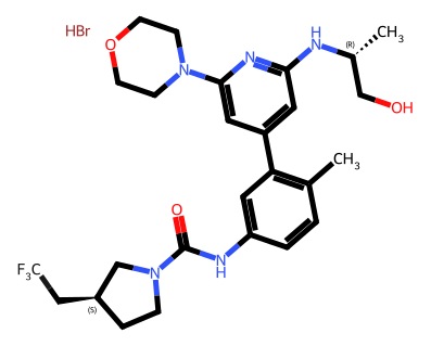 Br.Cc1ccc(NC(=O)N2CC[C@@H](CC(F)(F)F)C2)cc1-c1cc(N[C@H](C)CO)nc(N2CCOCC2)c1